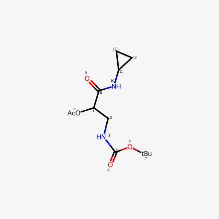 CC(=O)OC(CNC(=O)OC(C)(C)C)C(=O)NC1CC1